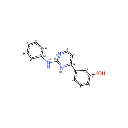 Oc1cccc(-c2ccnc(Nc3ccccc3)n2)c1